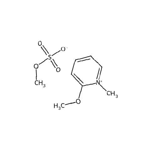 COS(=O)(=O)[O-].COc1cccc[n+]1C